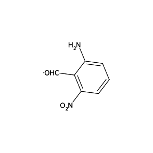 Nc1cccc([N+](=O)[O-])c1[C]=O